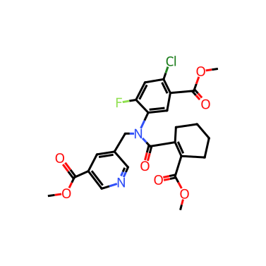 COC(=O)C1=C(C(=O)N(Cc2cncc(C(=O)OC)c2)c2cc(C(=O)OC)c(Cl)cc2F)CCCC1